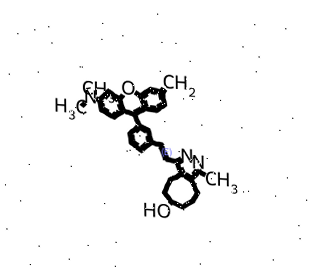 C=c1ccc2c(c1)Oc1cc(N(C)C)ccc1C=2c1cccc(/C=C/c2nnc(C)c3c2CCC(O)CCC3)c1